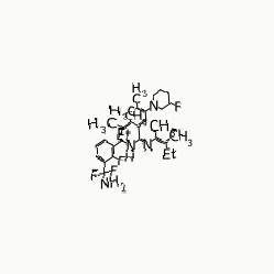 CC\C(C)=C(C)/N=C(NCc1cccc(C(N)(F)F)c1F)\C(=C\C(=C(C)C)N1CCCC(F)C1)C(\C)=C(\C)CC